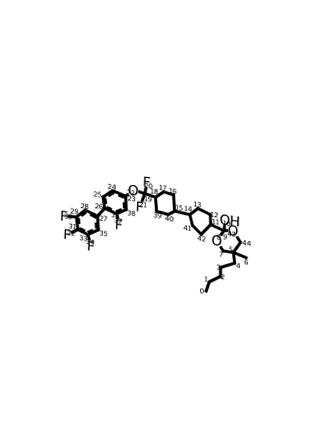 CCCCCC1(C)COC(O)(C2CCC(C3CCC(C(F)(F)Oc4ccc(-c5cc(F)c(F)c(F)c5)c(F)c4)CC3)CC2)OC1